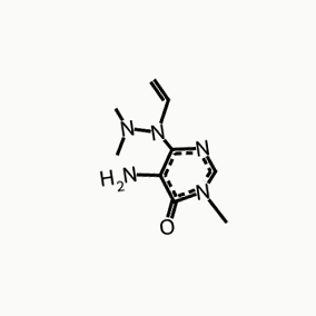 C=CN(c1ncn(C)c(=O)c1N)N(C)C